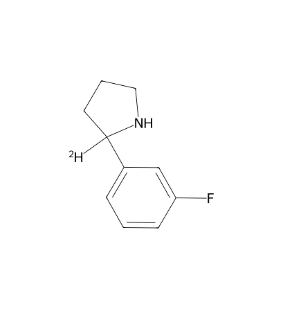 [2H]C1(c2cccc(F)c2)CCCN1